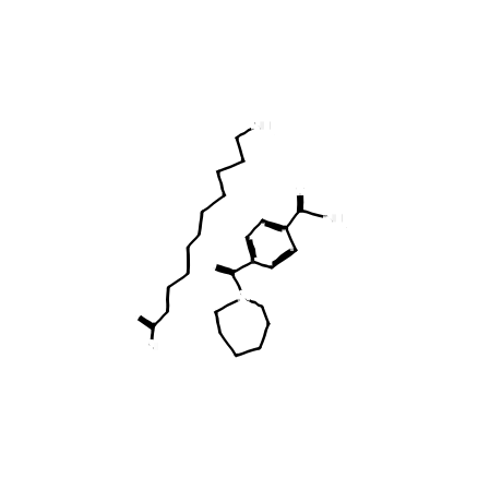 NC(=O)c1ccc(C(=O)N2CCCCCC2)cc1.NCCCCCCCCCCC(N)=O